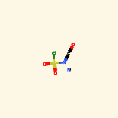 O=C=NS(=O)(=O)Cl.[N]